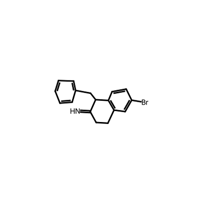 N=C1CCc2cc(Br)ccc2C1Cc1ccccc1